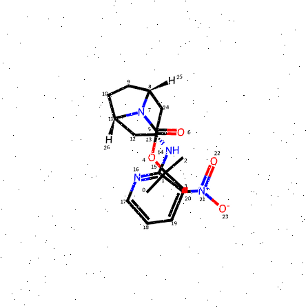 CC(C)(C)OC(=O)N1[C@@H]2CC[C@H]1C[C@@H](Nc1ncccc1[N+](=O)[O-])C2